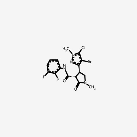 CN1C[C@H](c2nn(C)c(Cl)c2Br)[C@@H](C(=O)Nc2cccc(F)c2F)C1=O